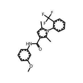 COc1cccc(NC(=O)c2cc(C)n(-c3ccccc3C(F)(F)F)c2C)c1